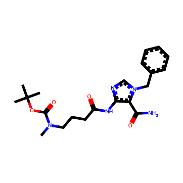 CN(CCCC(=O)Nc1ncn(Cc2ccccc2)c1C(N)=O)C(=O)OC(C)(C)C